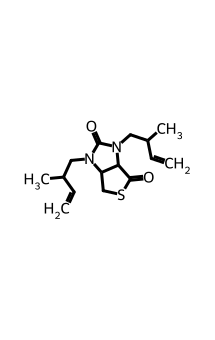 C=CC(C)CN1C(=O)N(CC(C)C=C)C2C(=O)SCC21